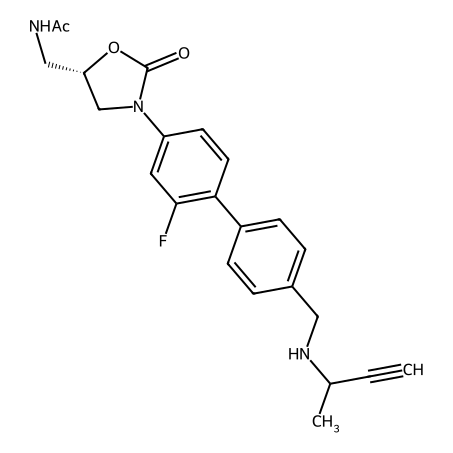 C#CC(C)NCc1ccc(-c2ccc(N3C[C@H](CNC(C)=O)OC3=O)cc2F)cc1